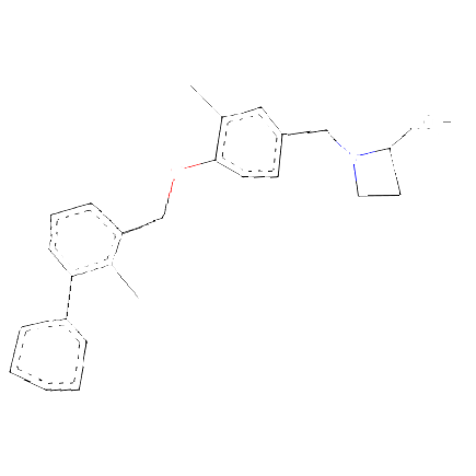 Cc1cc(CN2CCC2C(=O)O)ccc1OCc1cccc(-c2ccccc2)c1C